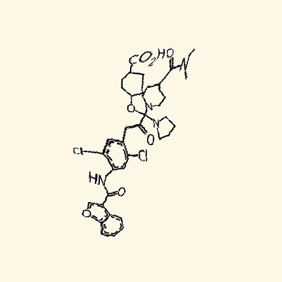 CN(C)C(=O)C1CCN(C(OC2CCC(C(=O)O)CC2)(C(=O)Cc2cc(Cl)c(NC(=O)c3coc4ccccc34)cc2Cl)N2CCCC2)CC1